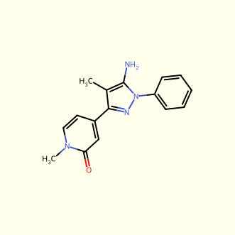 Cc1c(-c2ccn(C)c(=O)c2)nn(-c2ccccc2)c1N